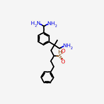 CC([CH]N)(CC(CCc1ccccc1)[SH](=O)=O)c1cccc(C(N)N)c1